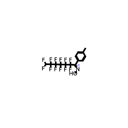 Cc1ccc(/C(=N/O)C(F)(F)C(F)(F)C(F)(F)C(F)(F)C(F)(F)C(F)F)cc1